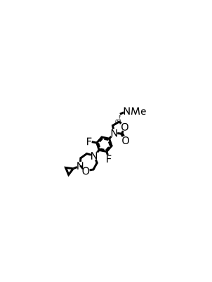 CNC[C@H]1CN(c2cc(F)c(N3CCON(C4CC4)CC3)c(F)c2)C(=O)O1